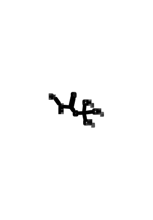 CC(C)(C)OC(=O)NBr